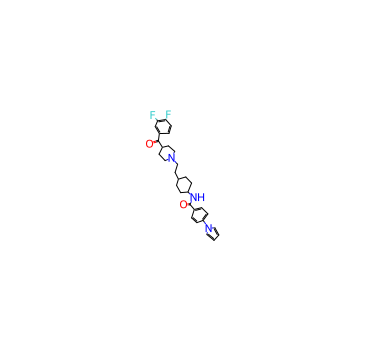 O=C(NC1CCC(CCN2CCC(C(=O)c3ccc(F)c(F)c3)CC2)CC1)c1ccc(-n2cccc2)cc1